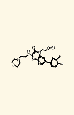 CCOCCn1c(=O)c(NCCN2CCOCC2)nc2ncc(-c3ccc(F)c(F)c3)cc21